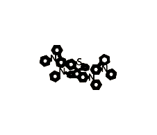 c1ccc(N(c2ccc3c(c2)C2(c4ccccc4Sc4ccccc42)c2cc(N(c4ccccc4)c4ccc5c6ccccc6n(-c6ccccc6)c5c4)ccc2-3)c2ccc3c4c(n(-c5ccccc5)c3c2)CCCC4)cc1